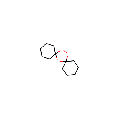 C1CCC2(CC1)OOC1(CCCCC1)O2